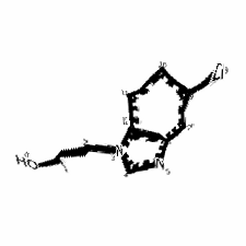 OCCn1cnc2cc(Cl)ccc21